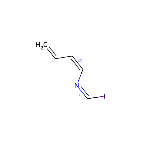 C=C/C=C\N=C/I